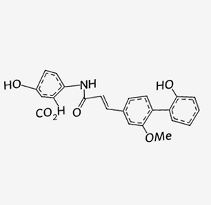 COc1cc(/C=C/C(=O)Nc2ccc(O)cc2C(=O)O)ccc1-c1ccccc1O